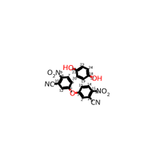 N#Cc1cc(Oc2ccc([N+](=O)[O-])c(C#N)c2)ccc1[N+](=O)[O-].Oc1ccc(O)cc1